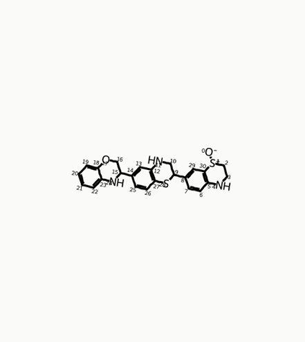 [O-][S+]1CCNc2ccc(C3CNc4cc(C5COc6ccccc6N5)ccc4S3)cc21